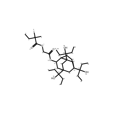 CCC(C)(I)C(=O)OCC(=O)OC1CC2(C(O)(CC)CC)CC3(C(O)(CC)CC)CCC1C(C(O)(CC)CC)(C3)C2